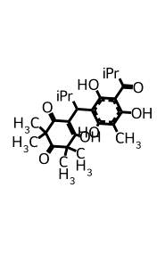 Cc1c(O)c(C(=O)C(C)C)c(O)c(C(C2=C(O)C(C)(C)C(=O)C(C)(C)C2=O)C(C)C)c1O